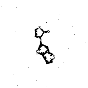 S=C1SC=CC1c1cc2sccc2s1